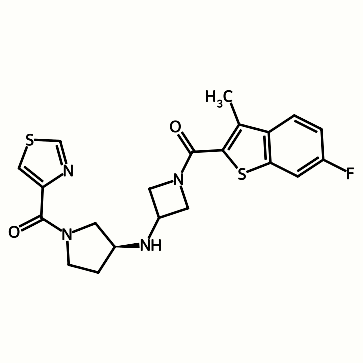 Cc1c(C(=O)N2CC(N[C@H]3CCN(C(=O)c4cscn4)C3)C2)sc2cc(F)ccc12